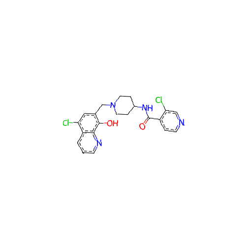 O=C(NC1CCN(Cc2cc(Cl)c3cccnc3c2O)CC1)c1ccncc1Cl